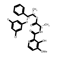 COc1ccnc(C(=O)N[C@@H](C)C(=O)O[C@@H](C)[C@H](Oc2cc(F)cc(Cl)c2)c2ccccc2)c1O